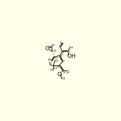 C=CC(=C(\C)O)/C(=C/C(=C(\C)OC)C(C)(C)C)C(=C)[C@H]1CO1